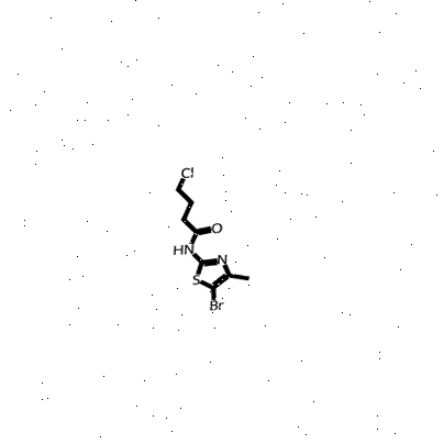 Cc1nc(NC(=O)CCCCl)sc1Br